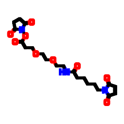 O=C(CCCCCN1C(=O)C=CC1=O)NCCOCCOCCC(=O)ON1C(=O)CCC1=O